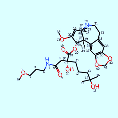 COCCCNC(=O)C[C@](O)(CCCC(C)(C)O)C(=O)O[C@@H]1C(OC)=C[C@]23CCCN2CCc2cc4c(cc2[C@H]13)OCO4